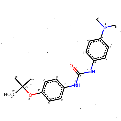 CN(C)c1ccc(NC(=O)Nc2ccc(OC(C)(C)C(=O)O)cc2)cc1